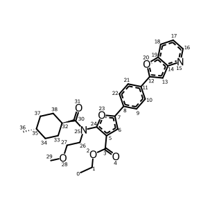 CCOC(=O)c1cc(-c2ccc(-c3cc4ncccc4o3)cc2)oc1N(CCOC)C(=O)[C@H]1CC[C@H](C)CC1